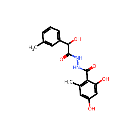 Cc1cccc(C(O)C(=O)NNC(=O)c2c(C)cc(O)cc2O)c1